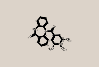 C[C@H]1C=C(C(=O)N2c3ccccc3NC(=O)c3ccccc32)C[C@H](C)N1C